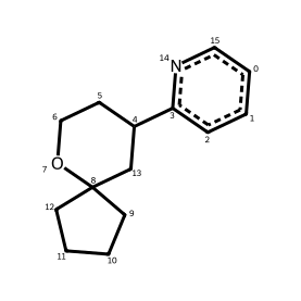 c1ccc(C2CCOC3(CCCC3)C2)nc1